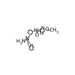 CCOc1cnc(C(=O)Nc2cccc(C/N=C(/N)SCc3ccccn3)c2)cn1